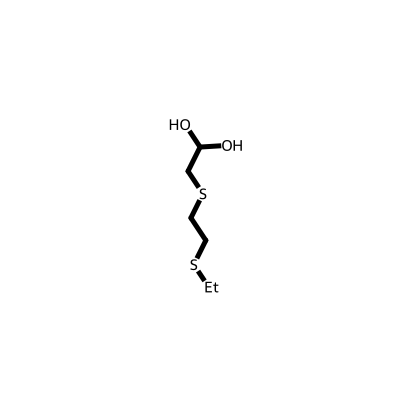 CCSCCSCC(O)O